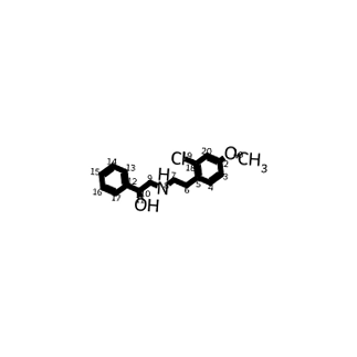 COc1ccc(CCNCC(O)c2ccccc2)c(Cl)c1